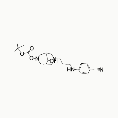 CC(C)(C)OC(=O)ON1CC2CN(CCCNc3ccc(C#N)cc3)CC(C1)C2O